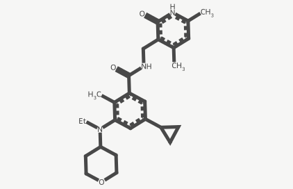 CCN(c1cc(C2CC2)cc(C(=O)NCc2c(C)cc(C)[nH]c2=O)c1C)C1CCOCC1